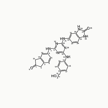 O=C1Cc2ccc(Nc3nc(Nc4ccc(C(=O)O)cc4)nc(Nc4ccc5[nH]c(=O)[nH]c5c4)n3)cc2C1